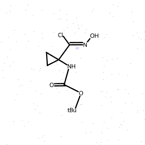 CC(C)(C)OC(=O)NC1(/C(Cl)=N/O)CC1